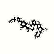 CC(C)(CO)n1cc(-c2cc(Cl)c(C(=O)N3COc4c(cccc4-c4cc(N5CCOCC5)c(C(=O)O)cc4F)C3)c(Cl)c2)cn1